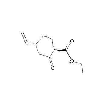 C=C[C@@H]1CC[C@@H](C(=O)OCC)C(=O)C1